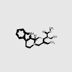 C/C=C1/CN2CCc3c([nH]c4ccccc34)[C@@H]2C[C@@H]1[C@H](CO)C(=O)OC